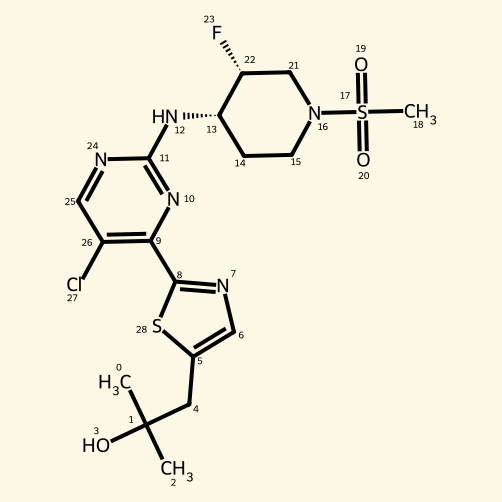 CC(C)(O)Cc1cnc(-c2nc(N[C@H]3CCN(S(C)(=O)=O)C[C@H]3F)ncc2Cl)s1